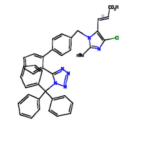 CCCCc1nc(Cl)c(/C=C/C(=O)O)n1Cc1ccc(-c2ccccc2-c2nnnn2C(c2ccccc2)(c2ccccc2)c2ccccc2)cc1